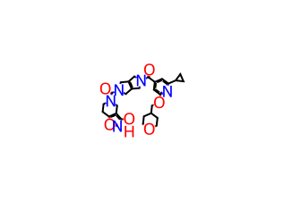 O=C(c1cc(OCC2CCOCC2)nc(C2CC2)c1)N1CC2=C(C1)CN(C(=O)N1CCc3onc(O)c3C1)C2